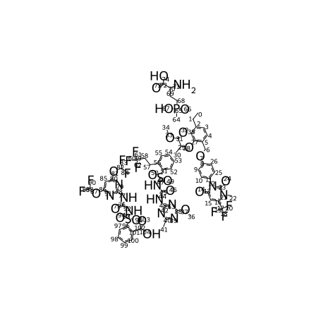 CCc1ccc(COc2ccc(-n3c(=O)cc(C(F)(F)F)n(C)c3=O)cc2)c(OC(C)C(=O)OC)c1.COc1nc(C)nc(NC(=O)NS(=O)(=O)c2ccccc2CCC(F)(F)F)n1.CP(=O)(O)CCC(N)C(=O)O.O=C(Nc1nc(OC(F)F)cc(OC(F)F)n1)NS(=O)(=O)c1ccccc1C(=O)O